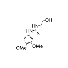 COc1ccc(NC(=S)NCCO)cc1OC